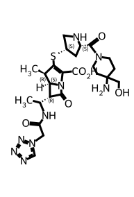 CC(NC(=O)Cn1cnnn1)[C@H]1C(=O)N2C(C(=O)O)=C(S[C@@H]3CN[C@H](C(=O)N4CCC(N)(CO)CC4)C3)[C@H](C)[C@H]12